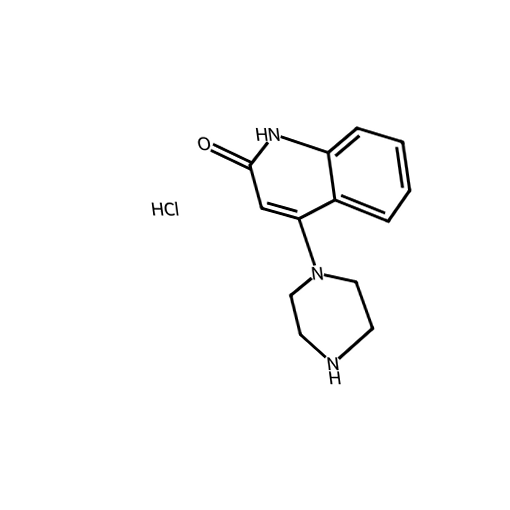 Cl.O=c1cc(N2CCNCC2)c2ccccc2[nH]1